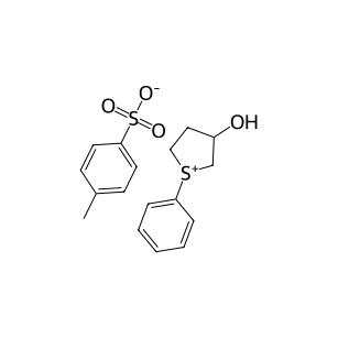 Cc1ccc(S(=O)(=O)[O-])cc1.OC1CC[S+](c2ccccc2)C1